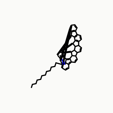 CCCCCCCCCCCCC1N(C)CC23C4=C5C=CC6C7C5=C2c2c5c8c9c%10c(ccc%11c%12ccc%13c%14c(c2c8c(c%10%11)c%14%12)C13C=%13C=C4)C1C=CC6C(C=57)C91